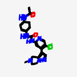 CC(=O)NC1CCC(NC(=O)Nc2cc(-c3cnn4c3CN(C)CC4)c(Cl)cn2)CC1